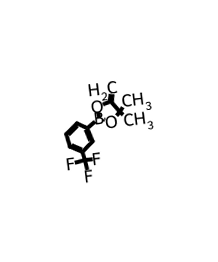 C=C1OB(c2cccc(C(F)(F)F)c2)OC1(C)C